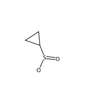 [O]S(=O)C1CC1